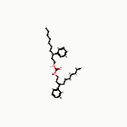 CCCCCCCC(CCOC(=O)OCCC(CCCCCCC)c1ccccc1)c1ccccc1